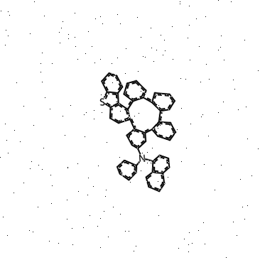 c1ccc(N(c2ccc3c(c2)c2ccccc2c2ccccc2c2ccccc2c2c3ccc3sc4ccccc4c32)c2cccc3ccccc23)cc1